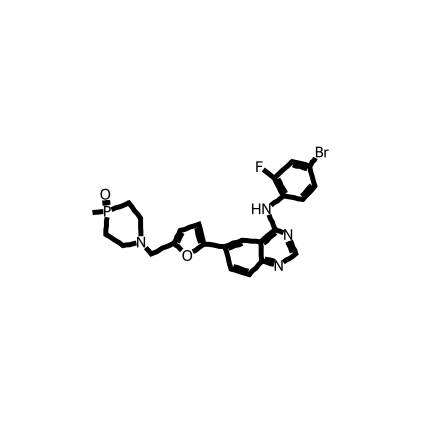 CP1(=O)CCN(Cc2ccc(-c3ccc4ncnc(Nc5ccc(Br)cc5F)c4c3)o2)CC1